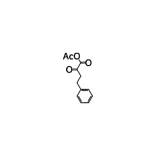 CC(=O)OC(=O)C(=O)CCc1ccccc1